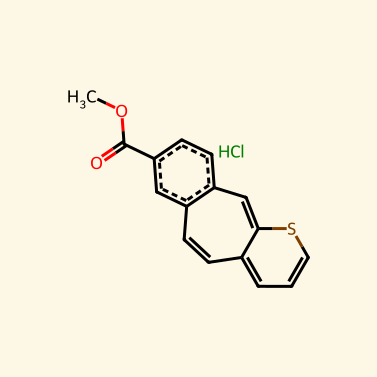 COC(=O)c1ccc2c(c1)C=CC1=CC=CSC1=C2.Cl